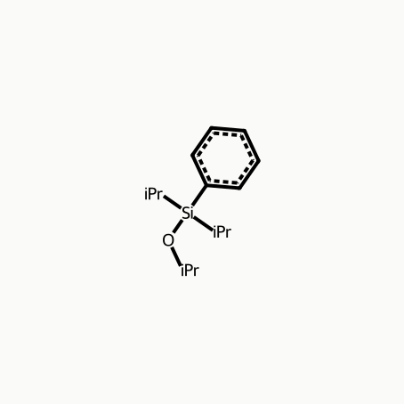 CC(C)O[Si](c1ccccc1)(C(C)C)C(C)C